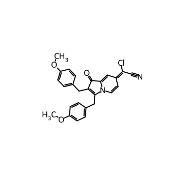 COc1ccc(CC2=C(Cc3ccc(OC)cc3)N3C=CC(=C(Cl)C#N)C=C3C2=O)cc1